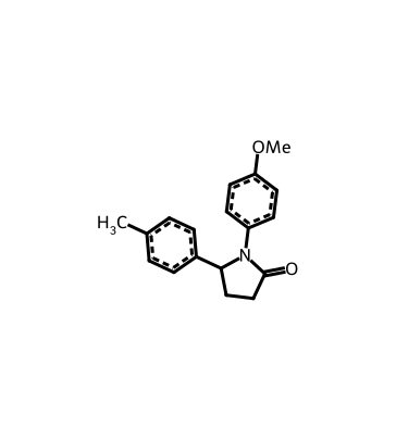 COc1ccc(N2C(=O)CCC2c2ccc(C)cc2)cc1